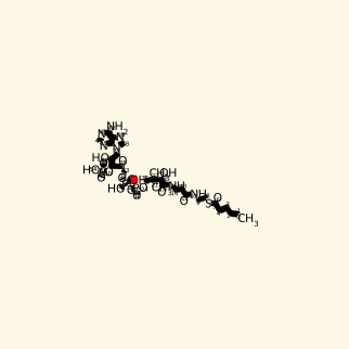 CC=CC=CC(=O)SCCNC(=O)CCNC(=O)[C@H](O)C(C)(C)COP(=O)(O)OP(=O)(O)OC[C@H]1O[C@@H](n2cnc3c(N)ncnc32)[C@H](O)[C@@H]1OP(=O)(O)O